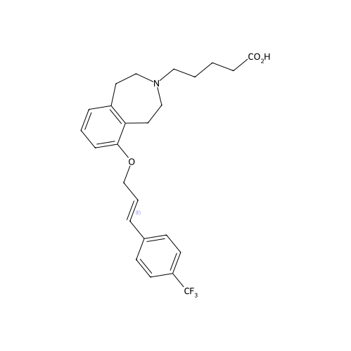 O=C(O)CCCCN1CCc2cccc(OC/C=C/c3ccc(C(F)(F)F)cc3)c2CC1